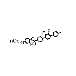 CCCCCCCCOc1ccc(OC(=O)C2CCC(c3ccc(-c4ccc(C)cc4)c(F)c3F)CC2)c(F)c1